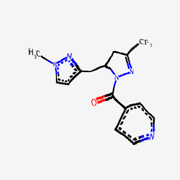 Cn1ccc(C2CC(C(F)(F)F)=NN2C(=O)c2ccncc2)n1